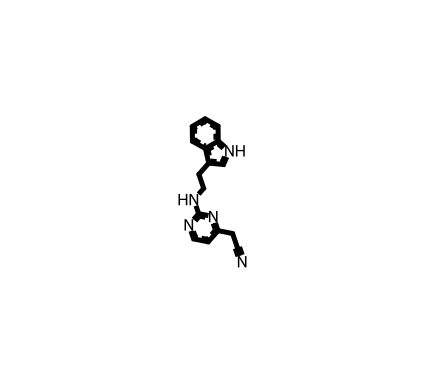 N#CCc1ccnc(NCCc2c[nH]c3ccccc23)n1